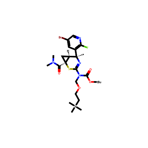 CN(C)C(=O)[C@]12C[C@H]1[C@@](C)(c1cc(Br)cnc1F)N=C(N(COCC[Si](C)(C)C)C(=O)OC(C)(C)C)S2